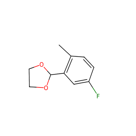 Cc1ccc(F)cc1C1OCCO1